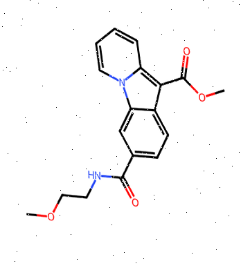 COCCNC(=O)c1ccc2c(C(=O)OC)c3ccccn3c2c1